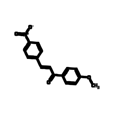 COc1ccc(C(=O)/C=C/c2ccc([N+](=O)[O-])cc2)cc1